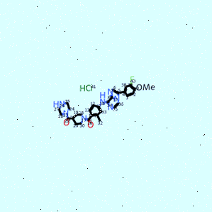 COc1ccc(-c2cnc3c(Nc4ccc(C(=O)N5CCC(C(=O)N6CCNCC6)CC5)c(C)c4)nccn23)cc1F.Cl